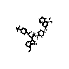 CCc1cccc2c(C(CC(=O)c3ccc(C(C)(C)C)cc3)C(=O)NC3CCC(Nc4cc(N(C)C)c5ccccc5n4)CC3)c[nH]c12